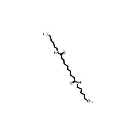 CCCCCCNC(=O)CCCCCCCCC(=O)NCCCCCC